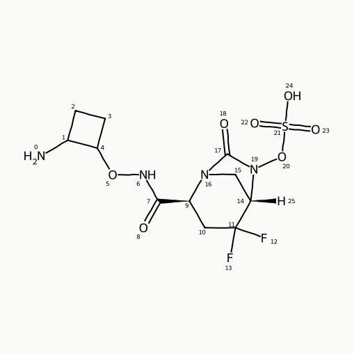 NC1CCC1ONC(=O)[C@@H]1CC(F)(F)[C@@H]2CN1C(=O)N2OS(=O)(=O)O